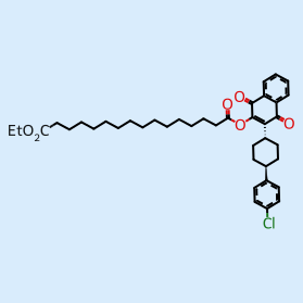 CCOC(=O)CCCCCCCCCCCCCCC(=O)OC1=C([C@H]2CC[C@H](c3ccc(Cl)cc3)CC2)C(=O)c2ccccc2C1=O